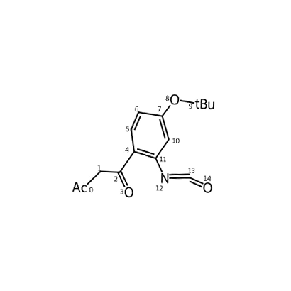 CC(=O)CC(=O)c1ccc(OC(C)(C)C)cc1N=C=O